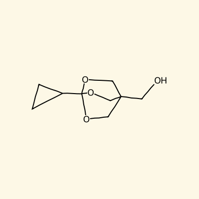 OCC12COC(C3CC3)(OC1)OC2